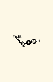 CCN(CC)CCCc1noc(-c2ccc(N3CCNCC3)cc2)n1